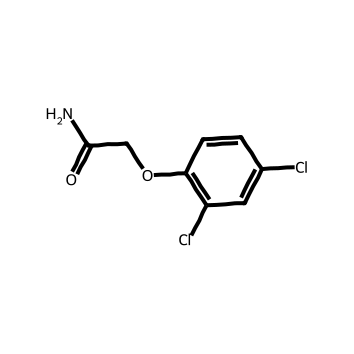 NC(=O)COc1ccc(Cl)cc1Cl